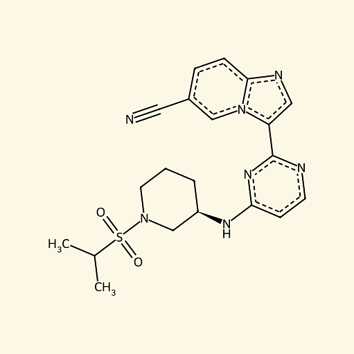 CC(C)S(=O)(=O)N1CCC[C@@H](Nc2ccnc(-c3cnc4ccc(C#N)cn34)n2)C1